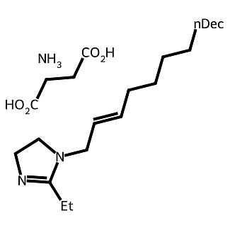 CCCCCCCCCCCCCCC=CCN1CCN=C1CC.N.O=C(O)CCC(=O)O